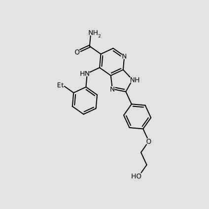 CCc1ccccc1Nc1c(C(N)=O)cnc2[nH]c(-c3ccc(OCCO)cc3)nc12